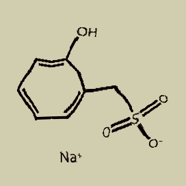 O=S(=O)([O-])Cc1ccccc1O.[Na+]